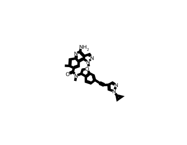 Cc1cc2nc(N)c3cnn(C)c3c2cc1C(=O)N(C)C1COc2cc(C#Cc3cnn(C4CC4)c3)ccc21